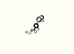 COC(=O)c1ccc(N2CCN3CCC[C@H]3C2)cc1F